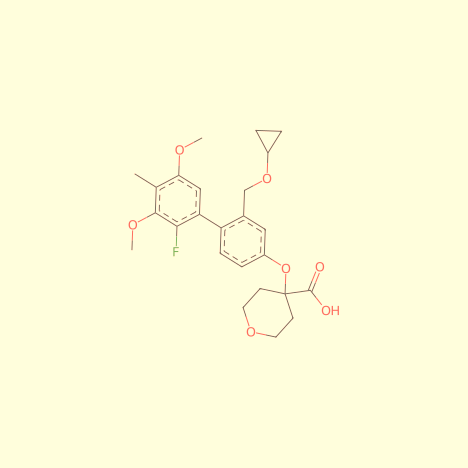 COc1cc(-c2ccc(OC3(C(=O)O)CCOCC3)cc2COC2CC2)c(F)c(OC)c1C